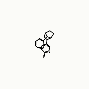 Fc1ccc(C2CC3CCC2C3C2=CC=CC=CN2)cn1